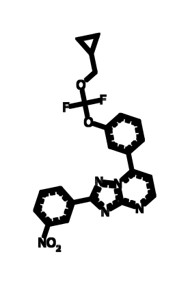 O=[N+]([O-])c1cccc(-c2nc3nccc(-c4cccc(OC(F)(F)OCC5CC5)c4)n3n2)c1